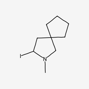 CN1CC2(CCCC2)CC1I